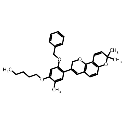 CCCCCOc1cc(OCc2ccccc2)c(C2=Cc3ccc4c(c3OC2)C=CC(C)(C)O4)cc1C